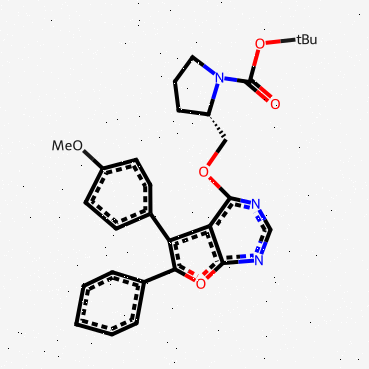 COc1ccc(-c2c(-c3ccccc3)oc3ncnc(OC[C@@H]4CCCN4C(=O)OC(C)(C)C)c23)cc1